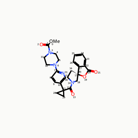 COC(=O)N1CCN(c2ccc(C3(C(=O)N4CC[C@@]5(C4)OC(=O)c4ccccc45)CC3)cn2)CC1